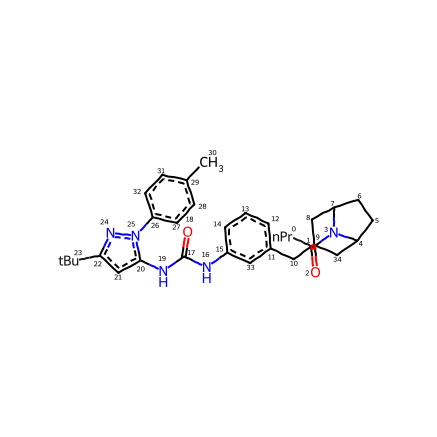 CCCC(=O)N1C2CCC1CC(Cc1cccc(NC(=O)Nc3cc(C(C)(C)C)nn3-c3ccc(C)cc3)c1)C2